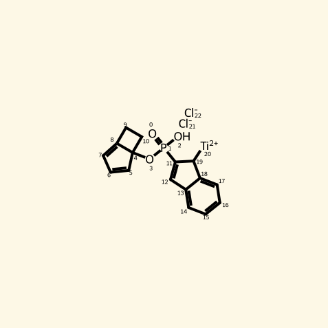 O=P(O)(OC12C=CC=C1CC2)C1=Cc2ccccc2[CH]1[Ti+2].[Cl-].[Cl-]